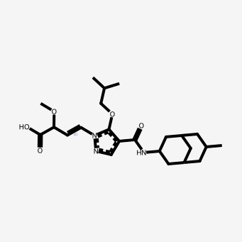 COC(/C=C/n1ncc(C(=O)NC2CC3CC(C)CC(C3)C2)c1OCC(C)C)C(=O)O